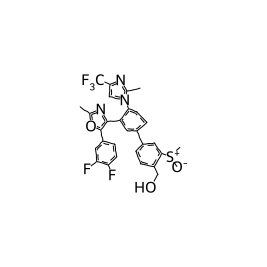 Cc1nc(-c2cc(-c3ccc(CO)c([S+](C)[O-])c3)ccc2-n2cc(C(F)(F)F)nc2C)c(-c2ccc(F)c(F)c2)o1